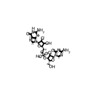 Nc1ncn([C@@H]2O[C@H](CO)[C@H](OP(=O)(O)OC[C@H]3O[C@@H](n4cnc5c(=O)[nH]c(N)nc54)C(Cl)C3O)C2Cl)c(=O)n1